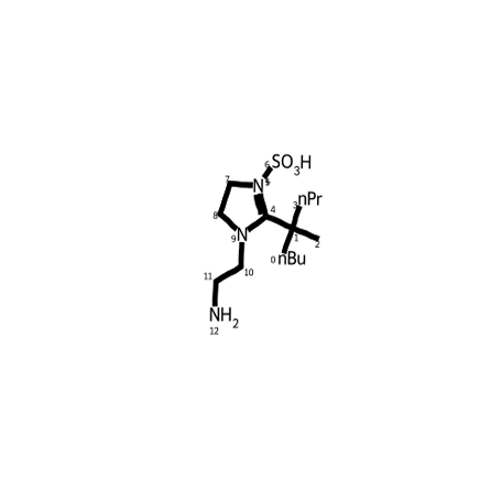 CCCCC(C)(CCC)C1=[N+](S(=O)(=O)O)CCN1CCN